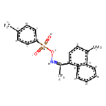 COc1ccc(/C(=N\OS(=O)(=O)c2ccc(C(F)(F)F)cc2)C(F)(F)F)c2ccccc12